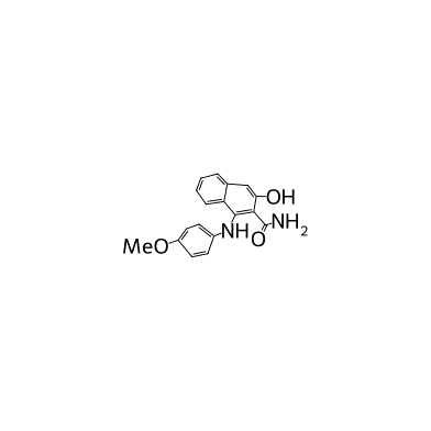 COc1ccc(Nc2c(C(N)=O)c(O)cc3ccccc23)cc1